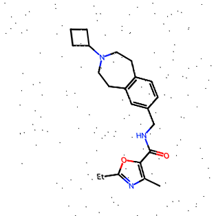 CCc1nc(C)c(C(=O)NCc2ccc3c(c2)CCN(C2CCC2)CC3)o1